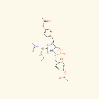 CC[C@H](C)[C@H](NC(C)=O)C(=O)N[C@@H](Cc1ccc(OC(C)=O)cc1)C(=O)N[C@@H](Cc1ccc(OC(C)=O)cc1)P(=O)(O)O